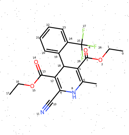 CCOC(=O)C1=C(C)NC(C#N)=C(C(=O)OCC)C1c1ccccc1C(F)(F)F